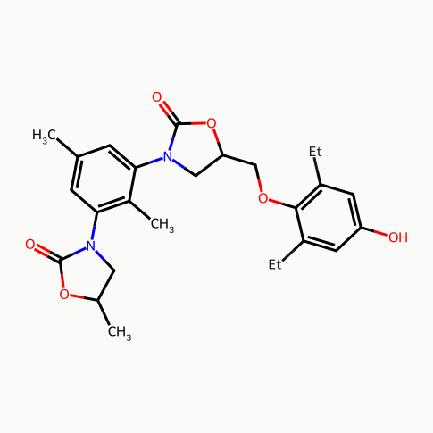 CCc1cc(O)cc(CC)c1OCC1CN(c2cc(C)cc(N3CC(C)OC3=O)c2C)C(=O)O1